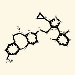 O=C(O)c1ccc2c(c1)Oc1ccc(OCc3c(-c4c(Cl)cccc4Cl)noc3C3CC3)nc1[C@@H](C(F)(F)F)C2